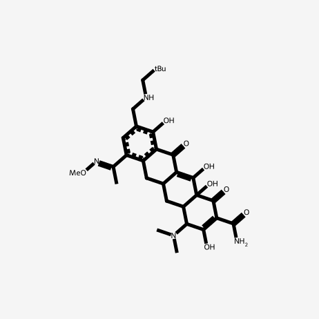 CO/N=C(\C)c1cc(CNCC(C)(C)C)c(O)c2c1CC1CC3C(N(C)C)C(O)=C(C(N)=O)C(=O)C3(O)C(O)=C1C2=O